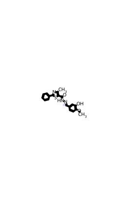 COc1ccc(/C=N/NC(=O)c2sc(-c3ccccc3)nc2C)cc1O